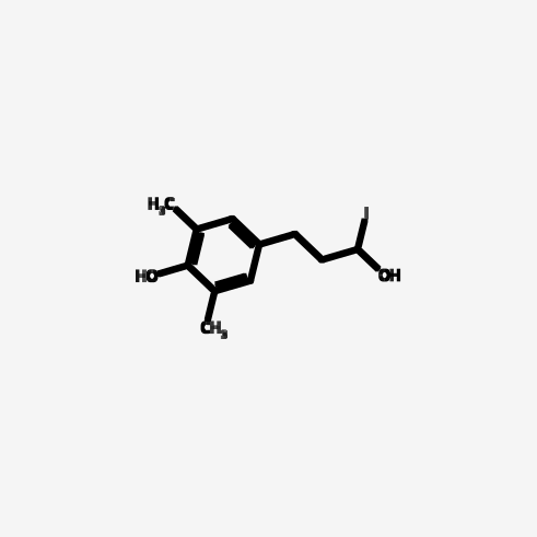 Cc1cc(CCC(O)I)cc(C)c1O